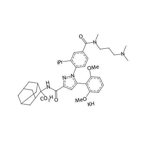 COc1cccc(OC)c1-c1cc(C(=O)NC2(C(=O)O)C3CC4CC(C3)CC2C4)nn1-c1ccc(C(=O)N(C)CCCN(C)C)cc1C(C)C.[KH]